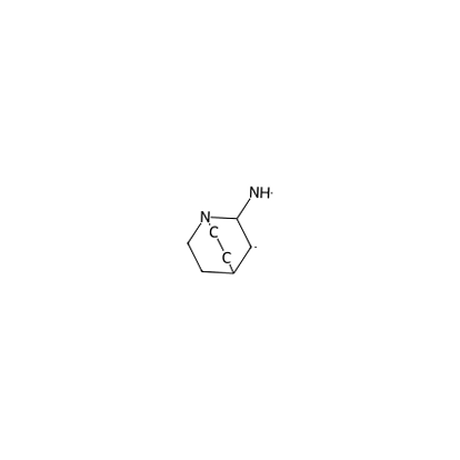 [NH]C1[CH]C2CCN1CC2